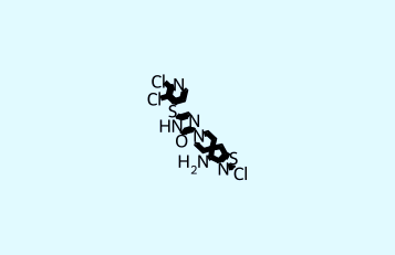 NC1c2nc(Cl)sc2CC12CCN(c1ncc(Sc3ccnc(Cl)c3Cl)[nH]c1=O)CC2